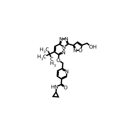 CC(C)(C)c1cc2nnc(-c3cc(CO)on3)n2nc1OCc1ccc(C(=O)NC2CC2)cn1